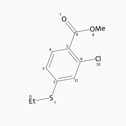 CCSc1ccc(C(=O)OC)c(Cl)c1